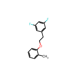 Cc1ccccc1OCCc1cc(F)cc(F)c1